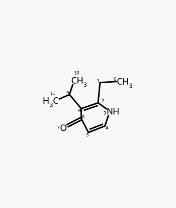 CCc1[nH]ccc(=O)c1C(C)C